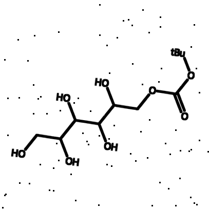 CC(C)(C)OC(=O)OCC(O)C(O)C(O)C(O)CO